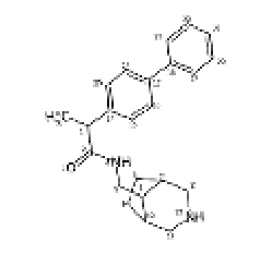 CC(C(=O)NCC1C2CCC1CNC2)c1ccc(-c2ccccc2)cc1